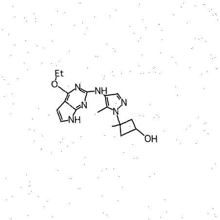 CCOc1nc(Nc2cnn(C3(C)CC(O)C3)c2C)nc2[nH]ccc12